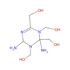 NC1N=C(CO)N(CO)C(N)(CO)N1CO